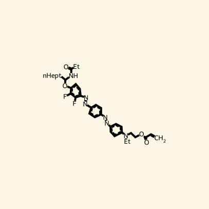 C=CC(=O)OCCN(CC)c1ccc(/N=N/c2ccc(/N=N/c3ccc(OC(CCCCCCC)NC(=O)CC)c(F)c3F)cc2)cc1